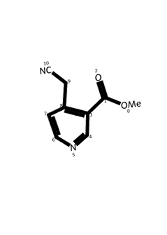 COC(=O)c1cnccc1CC#N